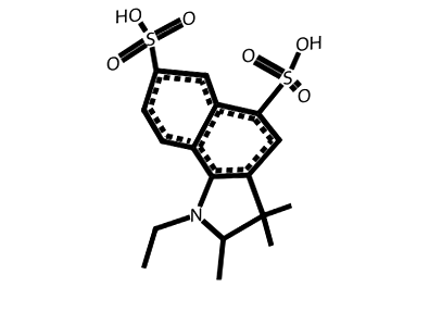 CCN1c2c(cc(S(=O)(=O)O)c3cc(S(=O)(=O)O)ccc23)C(C)(C)C1C